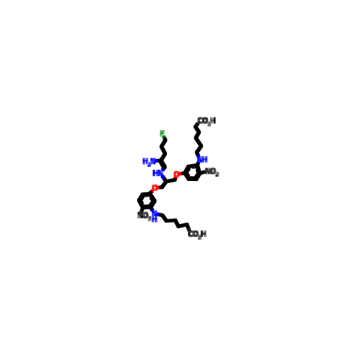 N/C(=C\NC(COc1ccc([N+](=O)[O-])c(NCCCCCC(=O)O)c1)COc1ccc([N+](=O)[O-])c(NCCCCCC(=O)O)c1)CCCF